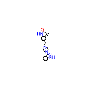 CC1(C)CC(=O)Nc2ccc(CCN3CCN(c4n[nH]c5ccccc45)CC3)cc21